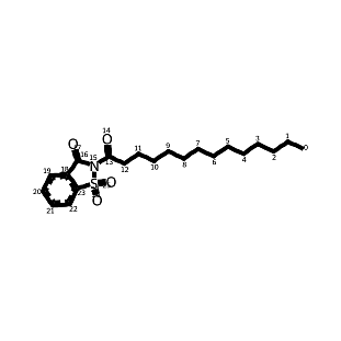 CCCCCCCCCCCCCC(=O)N1C(=O)c2ccccc2S1(=O)=O